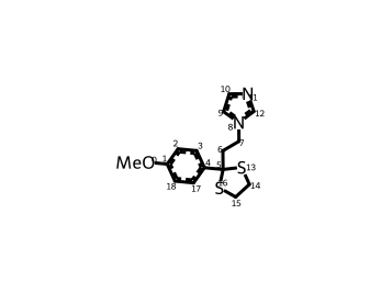 COc1ccc(C2(CCn3ccnc3)SCCS2)cc1